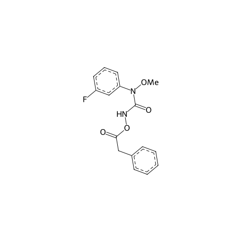 CON(C(=O)NOC(=O)Cc1ccccc1)c1cccc(F)c1